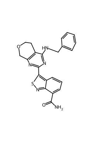 NC(=O)c1cccc2c(-c3nc4c(c(NCc5ccccc5)n3)CCOC4)snc12